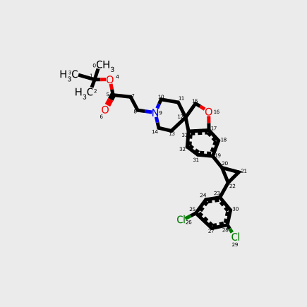 CC(C)(C)OC(=O)CCN1CCC2(CC1)COc1cc(C3CC3c3cc(Cl)cc(Cl)c3)ccc12